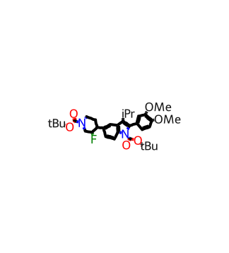 COc1ccc(-c2c(C(C)C)c3cc(C4CCN(C(=O)OC(C)(C)C)CC4F)ccc3n2C(=O)OC(C)(C)C)cc1OC